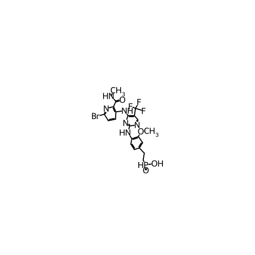 CNC(=O)c1nc(Br)ccc1Nc1nc(Nc2ccc(CC[PH](=O)O)cc2OC)ncc1C(F)(F)F